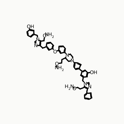 NOCCc1c(-c2ccccc2)ncn1Cc1cc(O)cc(-c2ccc(N3CCN(c4cccc(Oc5cccc(Cc6ncn(Cc7cccc(O)c7)c6CON)c5)c4)C(CCON)C3)cc2)c1